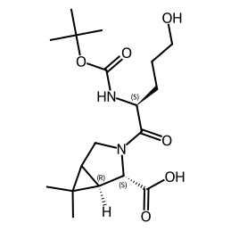 CC(C)(C)OC(=O)N[C@@H](CCCO)C(=O)N1CC2[C@@H]([C@H]1C(=O)O)C2(C)C